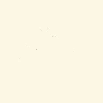 COc1cccc(Oc2cc([CH]c3ccc(C)cc3C)c(Cl)nn2)c1F